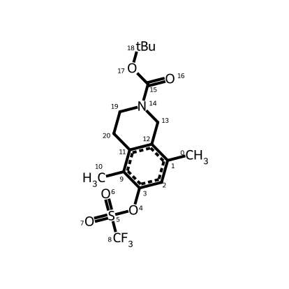 Cc1cc(OS(=O)(=O)C(F)(F)F)c(C)c2c1CN(C(=O)OC(C)(C)C)CC2